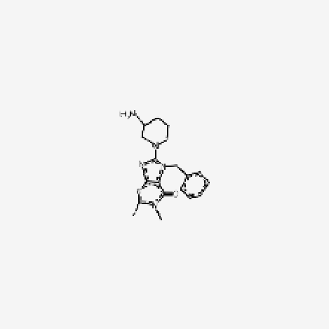 Cc1nc2nc(N3CCCC(N)C3)n(Cc3ccccc3)c2c(=O)n1C